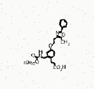 CCCCCCCCCCOC(=O)NCc1cc(OCCc2nc(-c3ccccc3)oc2C)ccc1CCC(=O)O